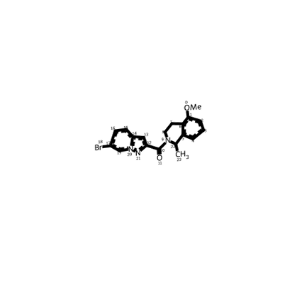 COc1cccc2c1CCN(C(=O)c1cc3ccc(Br)cn3n1)C2C